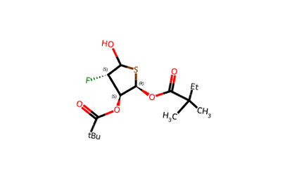 CCC(C)(C)C(=O)O[C@@H]1SC(O)[C@@H](F)[C@@H]1OC(=O)C(C)(C)C